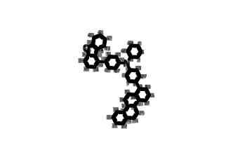 c1ccc(N(c2ccc(-c3cccc4c3ccc3c5ccccc5ccc43)cc2)c2ccc(-c3cccc4oc5ccccc5c34)cc2)cc1